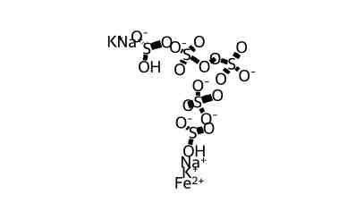 O=S(=O)([O-])OOS(=O)(=O)[O-].O=S(=O)([O-])[O-].O=S([O-])O.O=S([O-])O.[Fe+2].[K+].[K+].[Na+].[Na+]